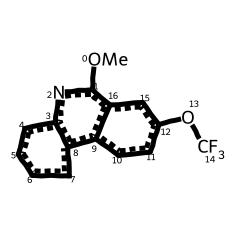 COc1nc2ccccc2c2ccc(OC(F)(F)F)cc12